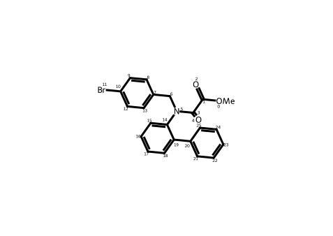 COC(=O)C(=O)N(Cc1ccc(Br)cc1)c1ccccc1-c1ccccc1